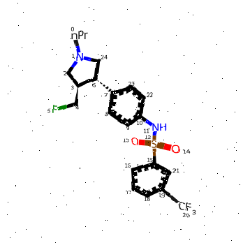 CCCN1C[C@H](CF)[C@@H](c2ccc(NS(=O)(=O)c3cccc(C(F)(F)F)c3)cc2)C1